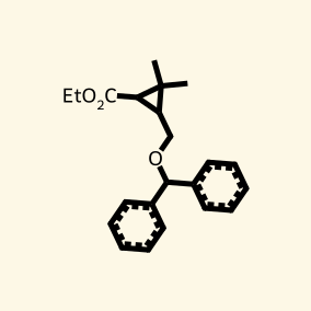 CCOC(=O)C1C(COC(c2ccccc2)c2ccccc2)C1(C)C